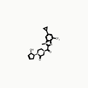 Cn1c(C(=O)N2CCN([C@H]3CC=C[C@H]3O)C(=O)C2)nc2c(C(F)(F)F)cc(C3CC3)cc21